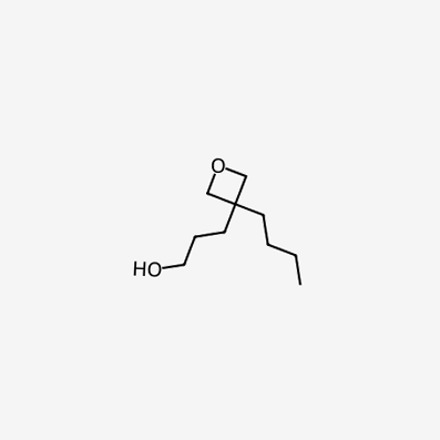 CCCCC1(CCCO)COC1